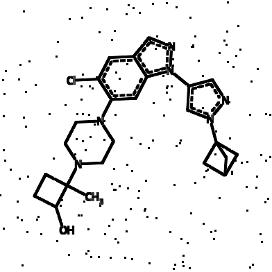 CC1(N2CCN(c3cc4c(cnn4-c4cnn(C56CC(C5)C6)c4)cc3Cl)CC2)CCC1O